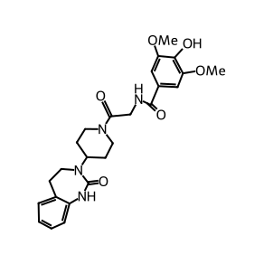 COc1cc(C(=O)NCC(=O)N2CCC(N3CCc4ccccc4NC3=O)CC2)cc(OC)c1O